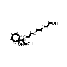 OCCOCCOCCOC(CO)C1(O)CCCCC1